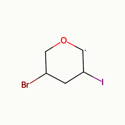 BrC1CO[CH]C(I)C1